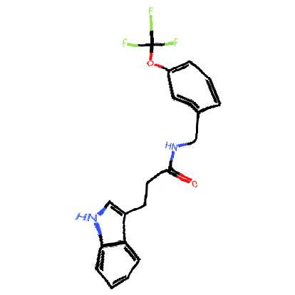 O=C(CCc1c[nH]c2ccccc12)NCc1cccc(OC(F)(F)F)c1